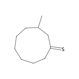 CC1CCCCCCC(=S)C1